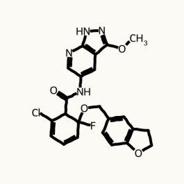 COc1n[nH]c2ncc(NC(=O)C3C(Cl)=CC=CC3(F)OCc3ccc4c(c3)CCO4)cc12